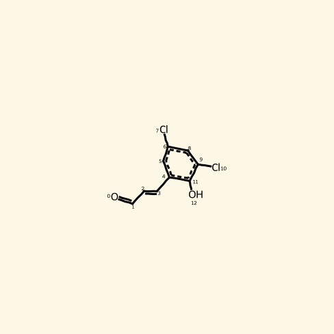 O=CC=Cc1cc(Cl)cc(Cl)c1O